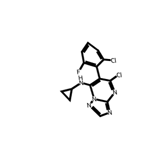 Fc1cccc(Cl)c1-c1c(Cl)nc2ncnn2c1NC1CC1